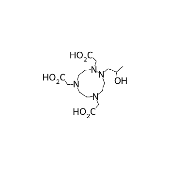 CC(O)CN1CCN(CC(=O)O)CCN(CC(=O)O)CCN1CC(=O)O